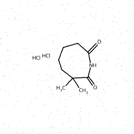 CC1(C)CCCCC(=O)NC1=O.Cl.Cl